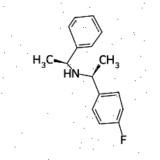 C[C@H](N[C@@H](C)c1ccc(F)cc1)c1ccccc1